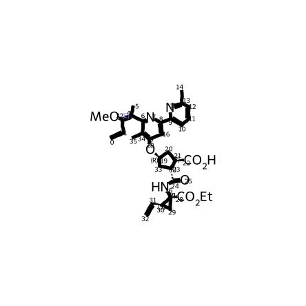 C=C/C(OC)=C(/C)c1nc(-c2cccc(C)n2)cc(O[C@H]2C[C@@H](C(=O)O)[C@H](C(=O)N[C@]3(C(=O)OCC)C[C@H]3C=C)C2)c1C